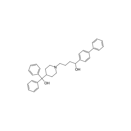 OC(CCCN1CCC(C(O)(c2ccccc2)c2ccccc2)CC1)c1ccc(-c2ccccc2)cc1